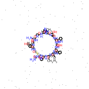 CCCC[C@H]1C(=O)N(C)[C@@H](CCCC)C(=O)N[C@@H](Cc2cccnc2)C(=O)N[C@H](C(=O)NCC(N)=O)CSCC(=O)N[C@@H](Cc2ccc(O)cc2)C(=O)N(C)[C@@H](C)C(=O)N[C@@H](CC(N)=O)C(=O)N2CCCC2C(=O)N[C@@H](Cc2cnc[nH]2)C(=O)N[C@@H](CC(C)C)C(=O)N2C[C@H](O)C[C@H]2C(=O)N[C@@H](Cc2c[nH]c3ccccc23)C(=O)N[C@@H](CO)C(=O)N[C@@H](Cc2c[nH]c3ccccc23)C(=O)N1C